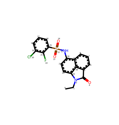 CCN1C(=O)c2cccc3c(NS(=O)(=O)c4cccc(Cl)c4F)ccc1c23